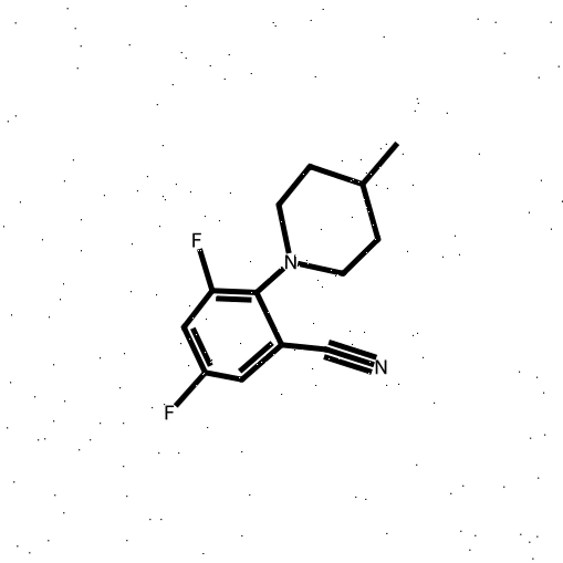 CC1CCN(c2c(F)cc(F)cc2C#N)CC1